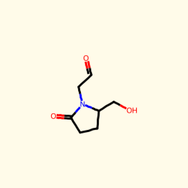 O=CCN1C(=O)CCC1CO